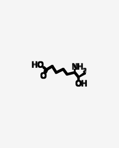 C[C@@H](O)[C@@H](N)CCCCC(=O)O